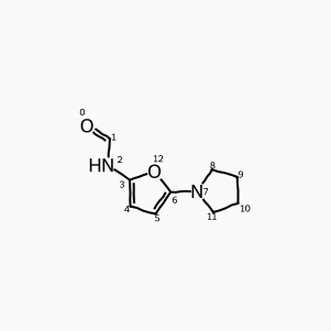 O=CNc1ccc(N2CCCC2)o1